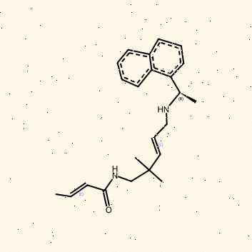 C/C=C/C(=O)NCC(C)(C)/C=C/CN[C@H](C)c1cccc2ccccc12